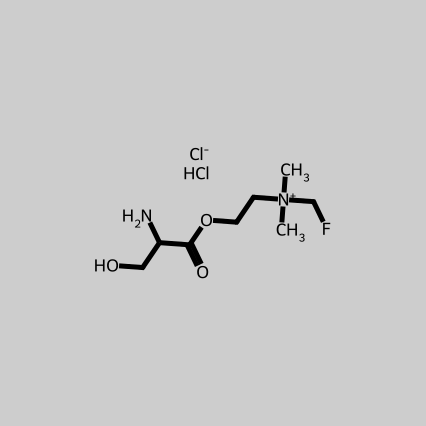 C[N+](C)(CF)CCOC(=O)C(N)CO.Cl.[Cl-]